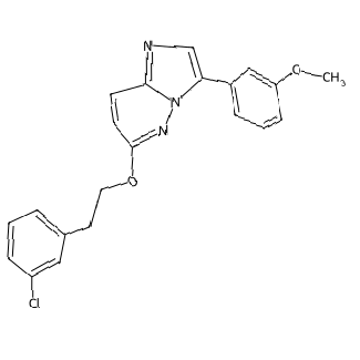 COc1cccc(-c2cnc3ccc(OCCc4cccc(Cl)c4)nn23)c1